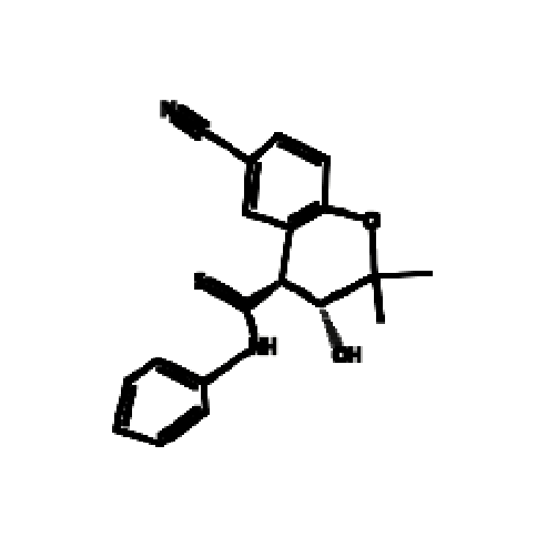 CC1(C)Oc2ccc(C#N)cc2[C@H](C(=S)Nc2ccccc2)[C@H]1O